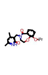 Cc1cc(C)c(CN2CCOc3c(OC(C)C)cccc3C2=O)c(=O)[nH]1